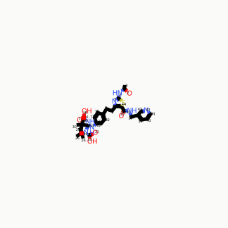 CC(=O)Nc1nc(CCc2ccc(NC(NC(=O)O)(N(C(=O)O)C(C)(C)C)C(C)(C)C)cc2)c(C(=O)NCc2cccnc2)s1